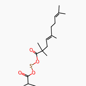 CC(C)=CCC/C(C)=C/CC(C)(C)C(=O)OSOC(=O)C(C)C